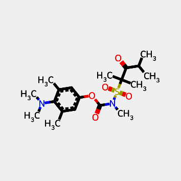 Cc1cc(OC(=O)N(C)S(=O)(=O)C(C)(C)C(=O)C(C)C)cc(C)c1N(C)C